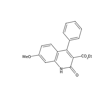 CCOC(=O)c1c(-c2ccccc2)c2ccc(OC)cc2[nH]c1=O